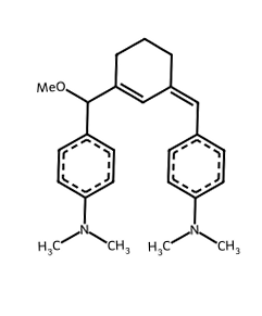 COC(C1=CC(=Cc2ccc(N(C)C)cc2)CCC1)c1ccc(N(C)C)cc1